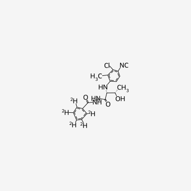 [2H]c1c([2H])c([2H])c(C(=O)NNC(=O)[C@H](Nc2ccc([N+]#[C-])c(Cl)c2C)[C@H](C)O)c([2H])c1[2H]